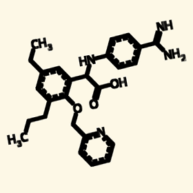 CCCc1cc(CC)cc(C(Nc2ccc(C(=N)N)cc2)C(=O)O)c1OCc1ccccn1